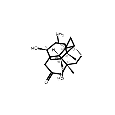 C[C@]1([C@@]23CC[C@]4(C)NC(=O)CC[C@H]4[C@@]2(CN)C3)CC[C@H](O)C[C@@H]1CO